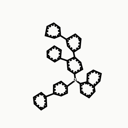 c1ccc(-c2ccc(N(c3ccc(-c4cccc(-c5ccccc5)c4)c(-c4ccccc4)c3)c3cccc4ccccc34)cc2)cc1